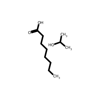 CC(C)O.CCCCCCCC(=O)O